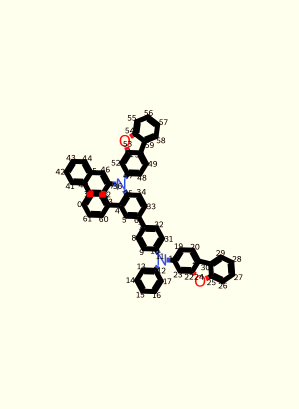 c1ccc(-c2cc(-c3ccc(N(c4ccccc4)c4ccc5c(c4)oc4ccccc45)cc3)ccc2N(c2ccc3ccccc3c2)c2ccc3c(c2)oc2ccccc23)cc1